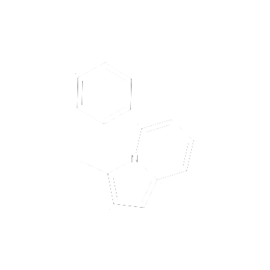 Cc1ccc2ccccn12.c1ccccc1